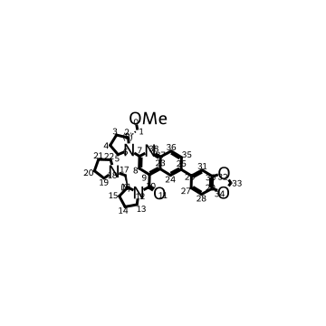 COC[C@H]1CCCN1c1cc(C(=O)N2CCC[C@H]2CN2CCCC2)c2cc(-c3ccc4c(c3)OCO4)ccc2n1